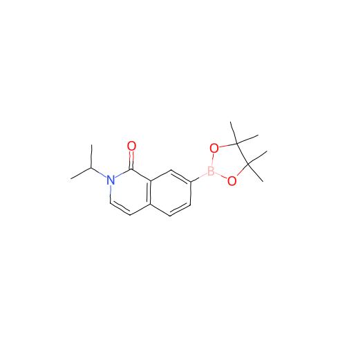 CC(C)n1ccc2ccc(B3OC(C)(C)C(C)(C)O3)cc2c1=O